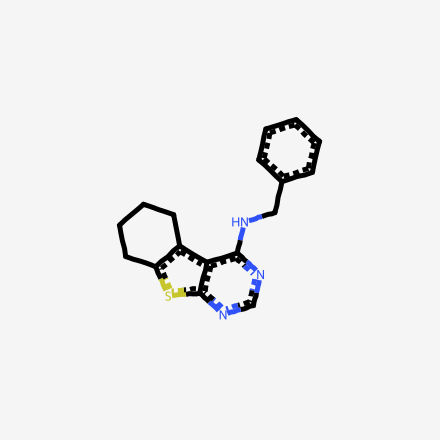 c1ccc(CNc2ncnc3sc4c(c23)CCCC4)cc1